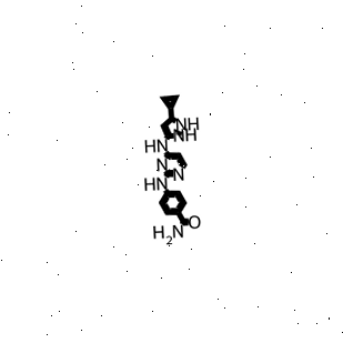 NC(=O)c1ccc(Nc2nccc(NC3=CC(C4CC4)NN3)n2)cc1